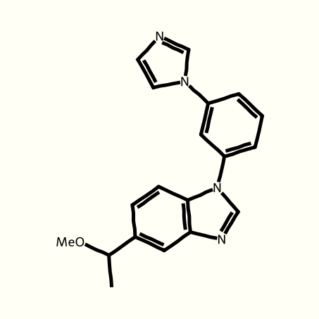 COC(C)c1ccc2c(c1)ncn2-c1cccc(-n2ccnc2)c1